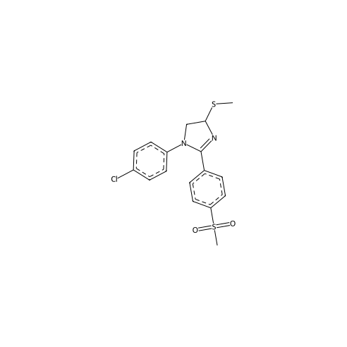 CSC1CN(c2ccc(Cl)cc2)C(c2ccc(S(C)(=O)=O)cc2)=N1